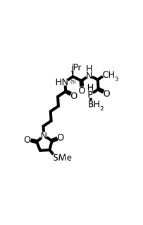 BPC(=O)C(C)NC(=O)[C@@H](NC(=O)CCCCCN1C(=O)CC(SC)C1=O)C(C)C